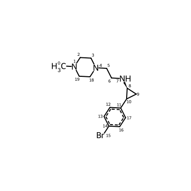 CN1CCN(CCN[C@H]2CC2c2ccc(Br)cc2)CC1